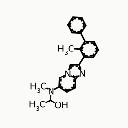 Cc1c(-c2ccccc2)cccc1-c1cn2cc(N(C)C(C)O)ccc2n1